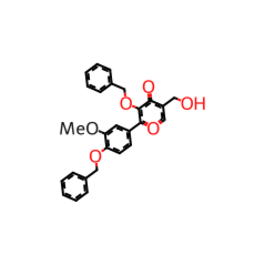 COc1cc(-c2occ(CO)c(=O)c2OCc2ccccc2)ccc1OCc1ccccc1